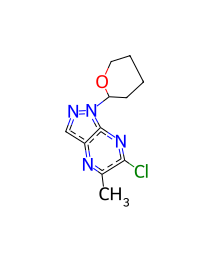 Cc1nc2cnn(C3CCCCO3)c2nc1Cl